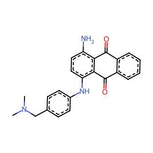 CN(C)Cc1ccc(Nc2ccc(N)c3c2C(=O)c2ccccc2C3=O)cc1